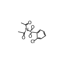 CC(=O)N(C(C)=O)S(=O)(=O)c1ccccc1Cl